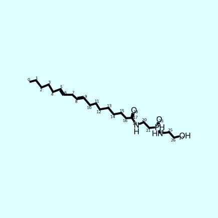 CCCCCC=CCC=CCCCCCCCC(=O)NCC[PH](=O)NCCO